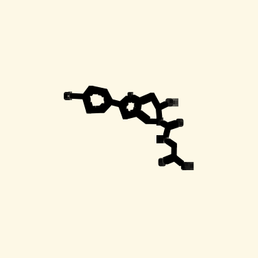 O=C(O)CNC(=O)N1C=c2cc(-c3ccc(Cl)cc3)sc2=CC1O